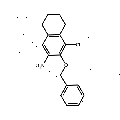 O=[N+]([O-])c1cc2c(c(Cl)c1OCc1ccccc1)CCCC2